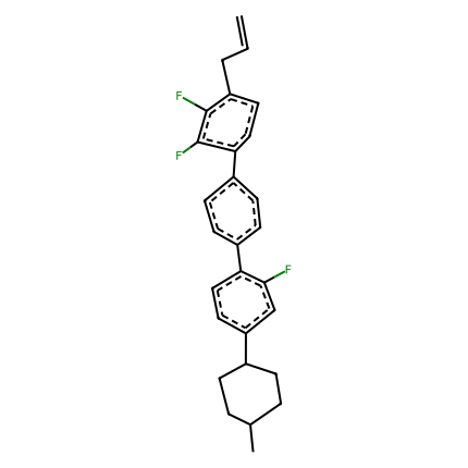 C=CCc1ccc(-c2ccc(-c3ccc(C4CCC(C)CC4)cc3F)cc2)c(F)c1F